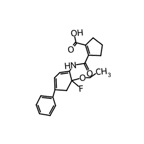 CCOC1(F)CC(c2ccccc2)=CC=C1NC(=O)C1=C(C(=O)O)CCC1